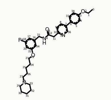 CCOc1ccc(-c2ccc(CC(=O)NCc3cc(F)cc(OCCCCCN4CCCCC4)c3)nc2)cc1